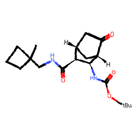 CC1(CNC(=O)[C@H]2[C@@H]3CC(=O)[C@@H](C3)[C@H]2NC(=O)OC(C)(C)C)CCC1